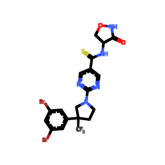 O=C1NOCC1NC(=S)c1cnc(N2CCC(c3cc(Br)cc(Br)c3)(C(F)(F)F)C2)nc1